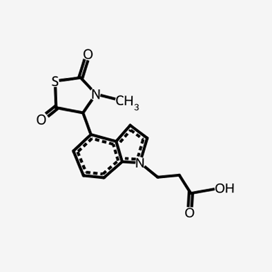 CN1C(=O)SC(=O)C1c1cccc2c1ccn2CCC(=O)O